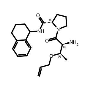 C=CCO[C@H](C)[C@H](N)C(=O)N1CCC[C@H]1C(=O)NC1CCCc2ccccc21